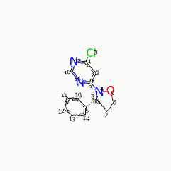 Clc1cc(N2OCC[C@@H]2c2ccccc2)ncn1